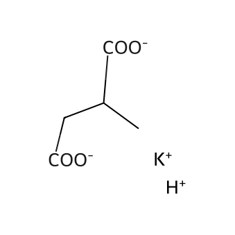 CC(CC(=O)[O-])C(=O)[O-].[H+].[K+]